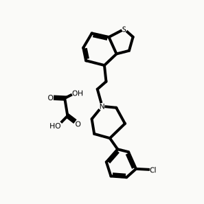 Clc1cccc(C2CCN(CCC3C=CC=C4SCCC43)CC2)c1.O=C(O)C(=O)O